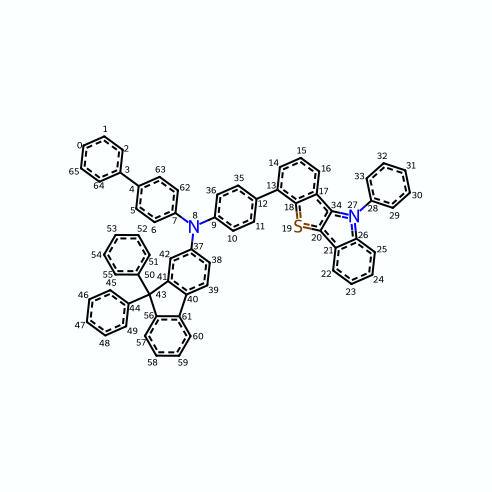 c1ccc(-c2ccc(N(c3ccc(-c4cccc5c4sc4c6ccccc6n(-c6ccccc6)c54)cc3)c3ccc4c(c3)C(c3ccccc3)(c3ccccc3)c3ccccc3-4)cc2)cc1